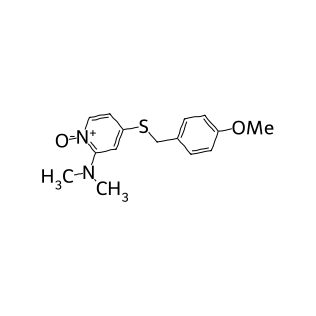 COc1ccc(CSc2cc[n+]([O-])c(N(C)C)c2)cc1